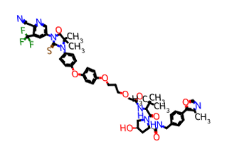 Cc1ncoc1-c1ccc(CNC(=O)[C@@H]2C[C@@H](O)CN2C(=O)C(NC(=O)COCCCOc2ccc(Oc3ccc(N4C(=S)N(c5cnc(C#N)c(C(F)(F)F)c5)C(=O)C4(C)C)cc3)cc2)C(C)(C)C)cc1